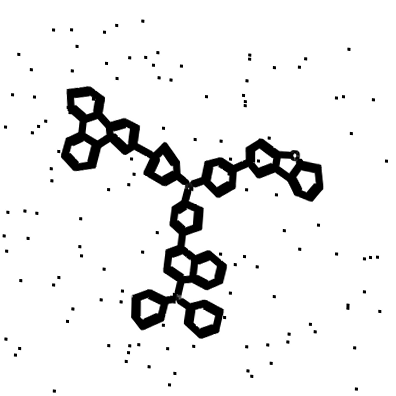 c1ccc(N(c2ccccc2)c2ccc(-c3ccc(N(c4ccc(-c5ccc6oc7ccccc7c6c5)cc4)c4ccc(-c5ccc6c7ccccc7c7ccccc7c6c5)cc4)cc3)c3ccccc23)cc1